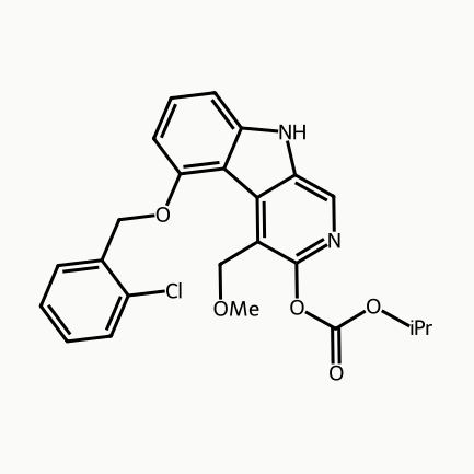 COCc1c(OC(=O)OC(C)C)ncc2[nH]c3cccc(OCc4ccccc4Cl)c3c12